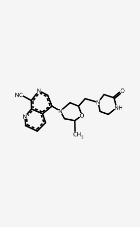 CC1CN(c2cnc(C#N)c3ncccc23)CC(CN2CCNC(=O)C2)O1